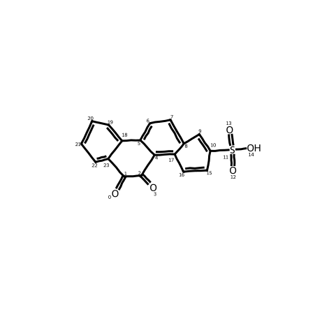 O=C1C(=O)c2c(ccc3cc(S(=O)(=O)O)ccc23)-c2ccccc21